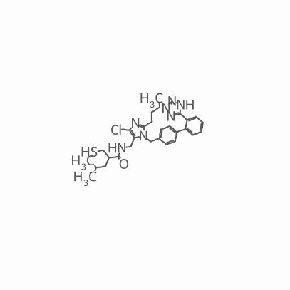 CCCCc1nc(Cl)c(CNC(=O)C(CS)CC(C)C)n1Cc1ccc(-c2ccccc2-c2nnn[nH]2)cc1